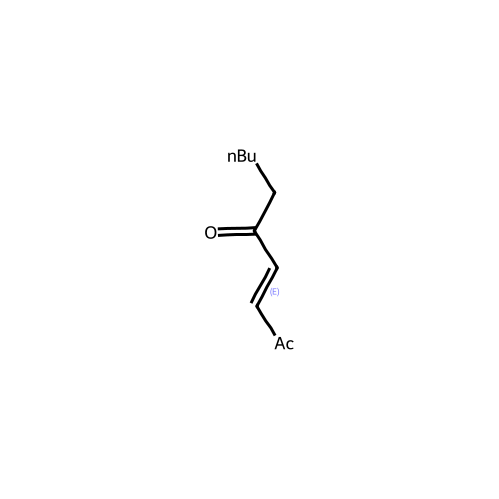 CCCCCC(=O)/C=C/C(C)=O